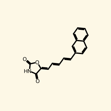 O=C1NC(=O)C(=CC=CC=Cc2ccc3ccccc3c2)O1